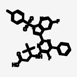 Cc1ccc(S(=O)(=O)n2cc(-c3nc(NC(CC(=O)O)C(C)(C)C)c(F)c(-c4ccccc4)n3)c3cc(F)cnc32)cc1